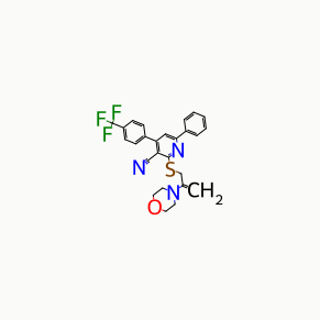 C=C(CSc1nc(-c2ccccc2)cc(-c2ccc(C(F)(F)F)cc2)c1C#N)N1CCOCC1